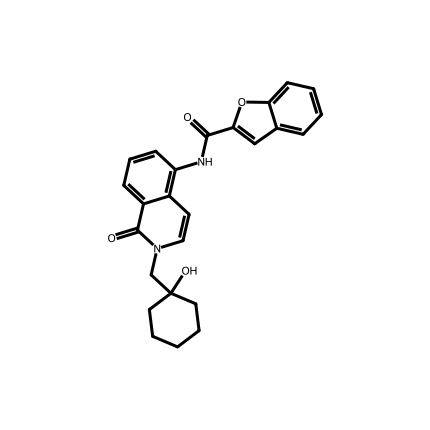 O=C(Nc1cccc2c(=O)n(CC3(O)CCCCC3)ccc12)c1cc2ccccc2o1